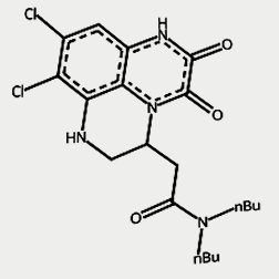 CCCCN(CCCC)C(=O)CC1CNc2c(Cl)c(Cl)cc3[nH]c(=O)c(=O)n1c23